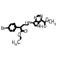 CCOC(=O)C(CCNc1c[nH]c2c(C(=O)OC)ncnc12)c1ccc(Br)cc1